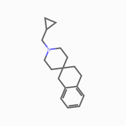 c1ccc2c(c1)CCC1(CCN(CC3CC3)CC1)C2